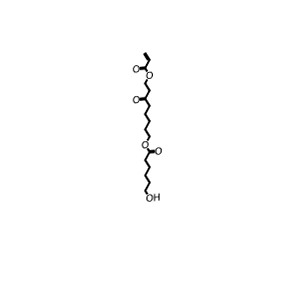 C=CC(=O)OCCC(=O)CCCCCOC(=O)CCCCCO